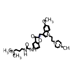 COc1ccc2c(c1)c(/C=C1\Oc3ccc(NC(=O)NCCCN(C)C)cc3C1=O)cn2CCN1CCN(C)CC1